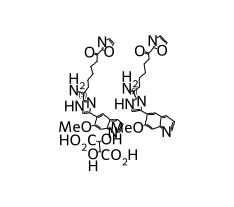 COc1cc2ncccc2cc1-c1c[nH]c([C@@H](N)CCCCCC(=O)c2ncco2)n1.COc1cc2ncccc2cc1-c1c[nH]c([C@@H](N)CCCCCC(=O)c2ncco2)n1.O=C(O)C(O)C(O)C(=O)O